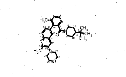 Cc1cccc(C(=O)N2CCC(C(C)(C)C)CC2)c1-c1ccc2nc(N)c(N3CCOCC3)cc2c1